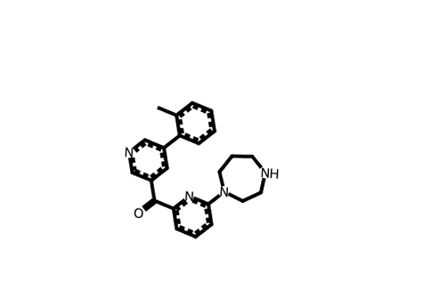 Cc1ccccc1-c1cncc(C(=O)c2cccc(N3CCCNCC3)n2)c1